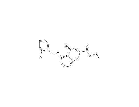 CCOC(=O)c1cc(=O)c2c(OCc3ccccc3Br)cccc2o1